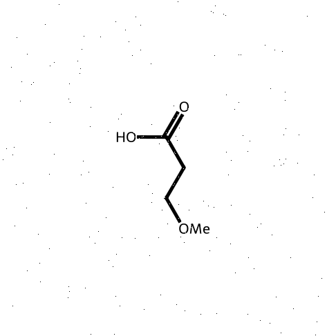 [CH2]OCCC(=O)O